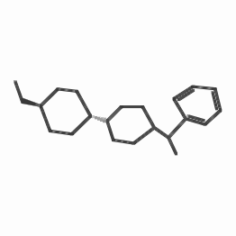 CC[C@H]1CC[C@H](C2CCC(C(C)c3ccccc3)CC2)CC1